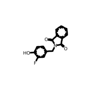 O=C1c2ccccc2C(=O)N1Cc1ccc(O)c(F)c1